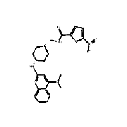 CN(C)c1cc(N[C@H]2CC[C@@H](CNC(=O)c3ccc([N+](=O)[O-])s3)CC2)nc2ccccc12